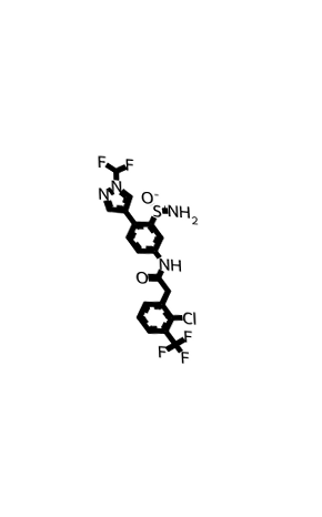 N[S+]([O-])c1cc(NC(=O)Cc2cccc(C(F)(F)F)c2Cl)ccc1-c1cnn(C(F)F)c1